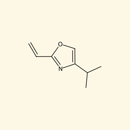 C=Cc1nc(C(C)C)co1